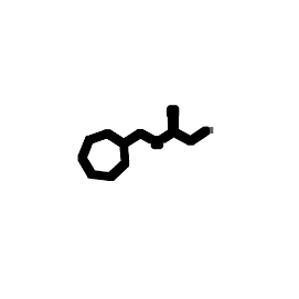 [CH2]CC(=O)OCC1CCCCCC1